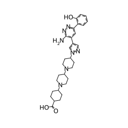 Nc1nnc(-c2ccccc2O)cc1-c1cnn(C2CCN(C3CCN(C4CCC(C(=O)O)CC4)CC3)CC2)c1